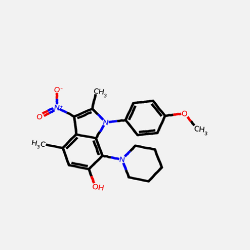 COc1ccc(-n2c(C)c([N+](=O)[O-])c3c(C)cc(O)c(N4CCCCC4)c32)cc1